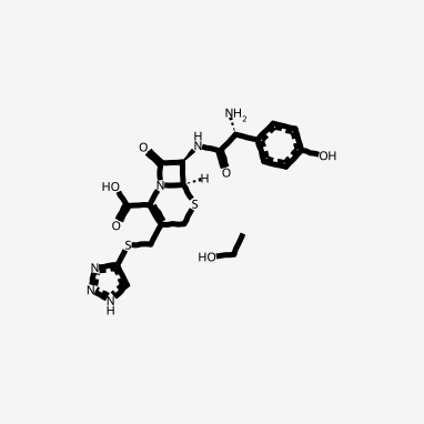 CCO.N[C@@H](C(=O)N[C@@H]1C(=O)N2C(C(=O)O)=C(CSc3c[nH]nn3)CS[C@H]12)c1ccc(O)cc1